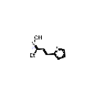 CC/C(C=Cc1cccs1)=N/O